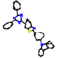 C1=C(c2nc3ccc(-c4nc(-c5ccccc5)nc(-c5ccccc5)n4)cc3s2)CCC(n2c3ccccc3c3ccccc32)=C1